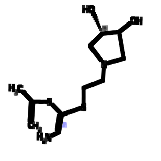 C=C(C)S/C(=C\N)SCCN1CC(O)[C@@H](O)C1